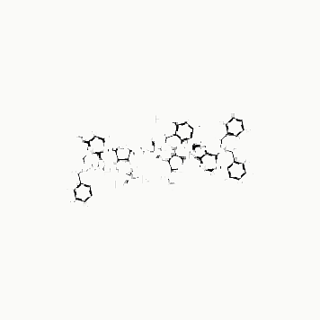 CO[C@@H]1[C@H](O[Si](C)(C)C(C)(C)C)[C@@H](COP(=S)(OCc2ccccc2C(F)(F)F)O[C@H]2[C@@H](OC)[C@H](n3cnc4c(N(Cc5ccccc5)Cc5ccccc5)ncnc43)O[C@@H]2CO)O[C@H]1n1ccc(=O)n(COCc2ccccc2)c1=O